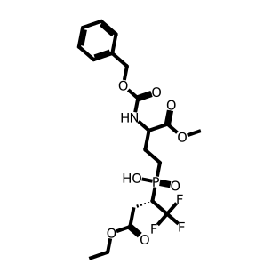 CCOC(=O)C[C@@H](C(F)(F)F)P(=O)(O)CCC(NC(=O)OCc1ccccc1)C(=O)OC